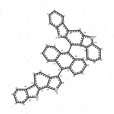 c1ccc2c(c1)oc1c(-c3c4ccccc4c(-c4coc5c4ccc4c6ccccc6oc45)c4ccccc34)c3c(cc12)oc1ccccc13